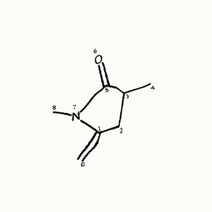 C=C1CC(C)C(=O)N1C